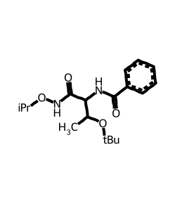 CC(C)ONC(=O)C(NC(=O)c1ccccc1)C(C)OC(C)(C)C